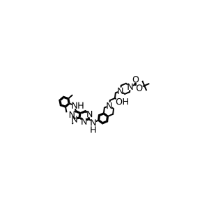 Cc1cccc(C)c1Nc1nn(C)c2nc(Nc3ccc4c(c3)CN(CC(O)CN3CCN(C(=O)OC(C)(C)C)CC3)CC4)ncc12